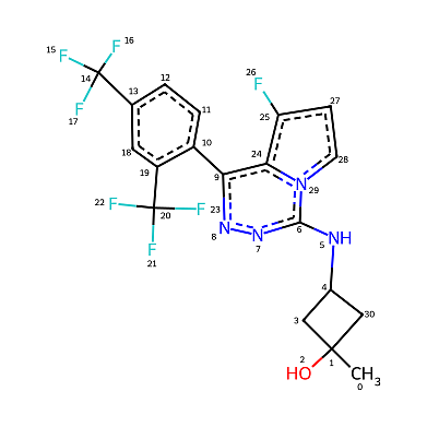 CC1(O)CC(Nc2nnc(-c3ccc(C(F)(F)F)cc3C(F)(F)F)c3c(F)ccn23)C1